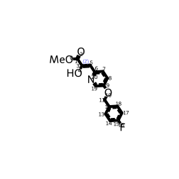 COC(=O)/C(O)=C/c1ccc(OCc2ccc(F)cc2)cn1